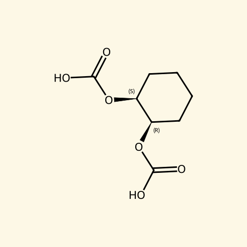 O=C(O)O[C@H]1CCCC[C@H]1OC(=O)O